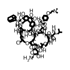 CN[C@H](CC(C)C)C(=O)N[C@H]1C(=O)N[C@@H](CC(=O)NS(=O)(=O)c2ccc(OCCN(C)C)cc2)C(=O)N[C@H]2C(=O)N[C@H]3C(=O)N[C@H](C(=O)N[C@H](C(=O)NC4C5CC6CC(C5)CC4C6)c4cc(O)cc5c4-c4cc3ccc4C5(O)O)[C@H](O)c3ccc(c(Cl)c3)Oc3cc2cc(c3O[C@@H]2O[C@H](CN)[C@@H](O)[C@H](O)[C@H]2O)Oc2ccc(cc2C)[C@H]1O